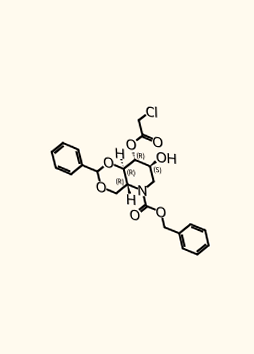 O=C(CCl)O[C@H]1[C@@H]2OC(c3ccccc3)OC[C@H]2N(C(=O)OCc2ccccc2)C[C@@H]1O